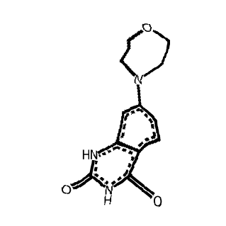 O=c1[nH]c(=O)c2ccc(N3CCOCC3)cc2[nH]1